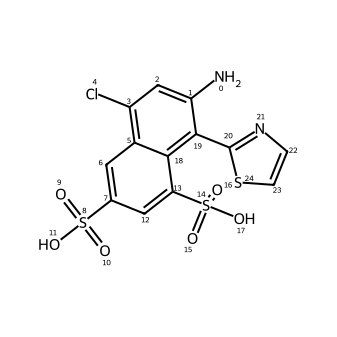 Nc1cc(Cl)c2cc(S(=O)(=O)O)cc(S(=O)(=O)O)c2c1-c1nccs1